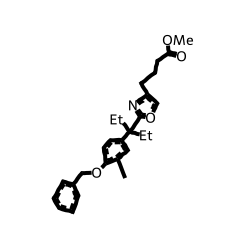 CCC(CC)(c1ccc(OCc2ccccc2)c(C)c1)c1nc(CCCC(=O)OC)co1